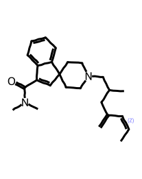 C=C(/C=C\C)CC(C)CN1CCC2(C=C(C(=O)N(C)C)c3ccccc32)CC1